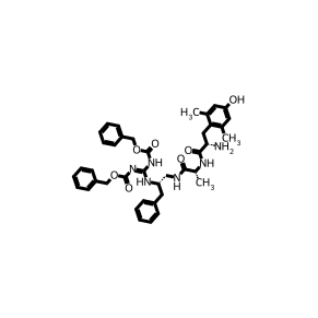 Cc1cc(O)cc(C)c1C[C@H](N)C(=O)N[C@H](C)C(=O)NC[C@H](Cc1ccccc1)N/C(=N\C(=O)OCc1ccccc1)NC(=O)OCc1ccccc1